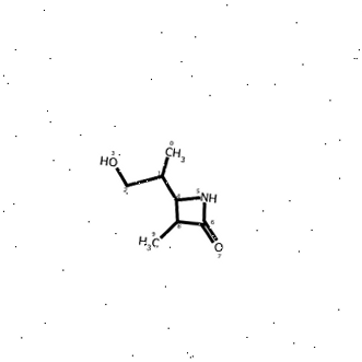 CC(CO)C1NC(=O)C1C